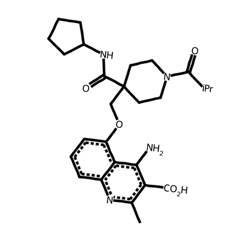 Cc1nc2cccc(OCC3(C(=O)NC4CCCC4)CCN(C(=O)C(C)C)CC3)c2c(N)c1C(=O)O